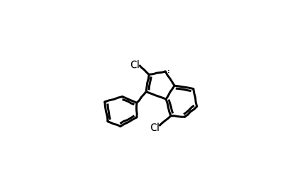 ClC1=C(c2ccccc2)c2c(Cl)cccc2[C]1